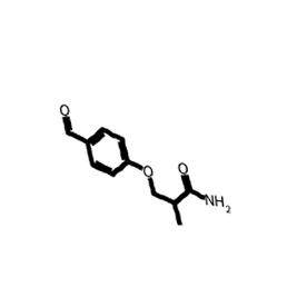 CC(COc1ccc(C=O)cc1)C(N)=O